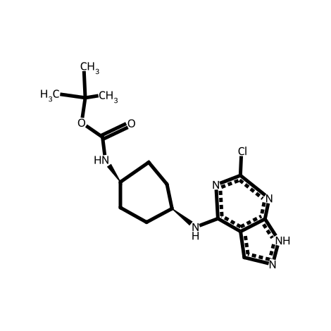 CC(C)(C)OC(=O)N[C@H]1CC[C@@H](Nc2nc(Cl)nc3[nH]ncc23)CC1